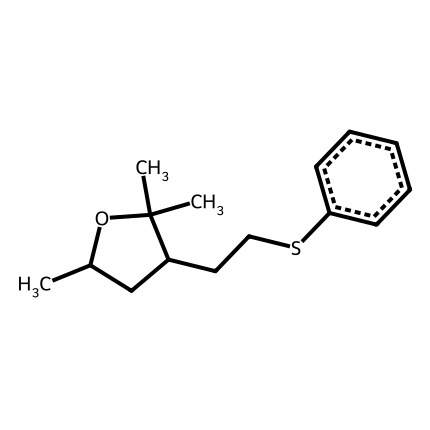 CC1CC(CCSc2ccccc2)C(C)(C)O1